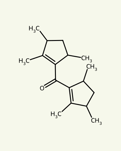 CC1=C(C(=O)C2=C(C)C(C)CC2C)C(C)CC1C